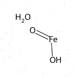 O.[O]=[Fe][OH]